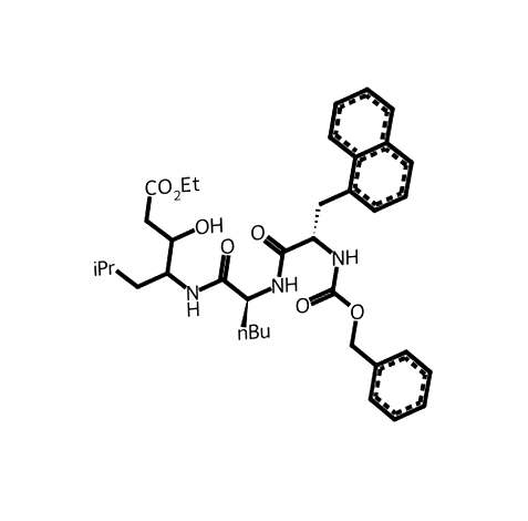 CCCC[C@H](NC(=O)[C@H](Cc1cccc2ccccc12)NC(=O)OCc1ccccc1)C(=O)NC(CC(C)C)C(O)CC(=O)OCC